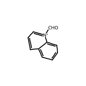 O=C[n+]1cccc2ccccc21